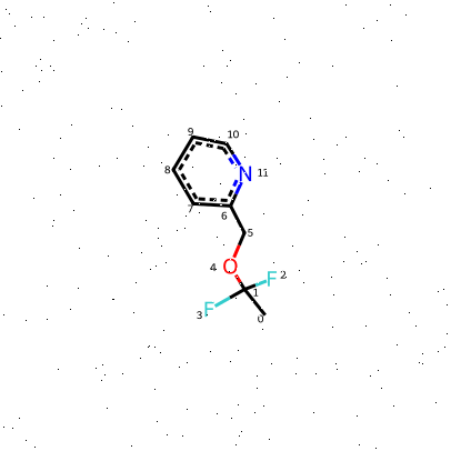 CC(F)(F)OCc1ccccn1